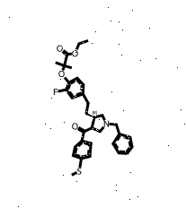 CCOC(=O)C(C)(C)Oc1ccc(CC[C@H]2CN(Cc3ccccc3)CC2C(=O)c2ccc(SC)cc2)cc1F